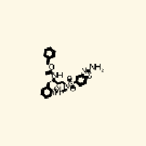 C=C(N[C@@H](Cc1ccccc1)[C@H](O)CN(CC(C)C)S(=O)(=O)c1ccc2sc(N)nc2c1)OCc1ccccc1